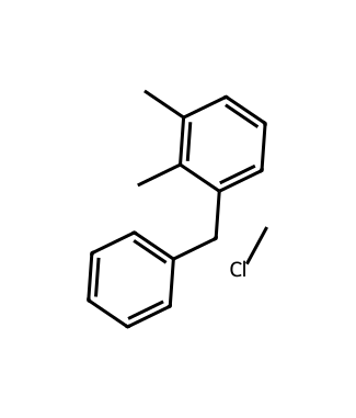 CCl.Cc1cccc(Cc2ccccc2)c1C